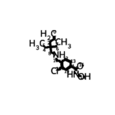 C=CCC(CC)(CC)CNCc1ccc(C(=O)NO)cc1Cl